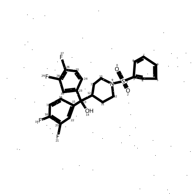 O=S(=O)(c1ccccc1)N1CCC(C(O)(c2ccc(F)c(F)c2)c2ccc(F)c(F)c2)CC1